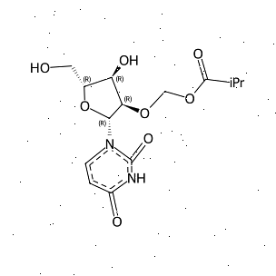 CC(C)C(=O)OCO[C@@H]1[C@H](O)[C@@H](CO)O[C@H]1n1ccc(=O)[nH]c1=O